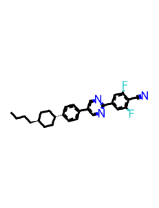 CCCC[C@H]1CC[C@H](c2ccc(-c3cnc(-c4cc(F)c(C#N)c(F)c4)nc3)cc2)CC1